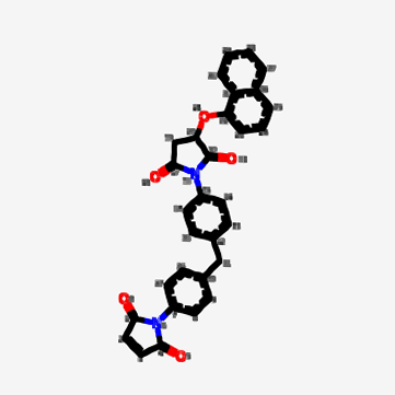 O=C1C=CC(=O)N1c1ccc(Cc2ccc(N3C(=O)CC(Oc4cccc5ccccc45)C3=O)cc2)cc1